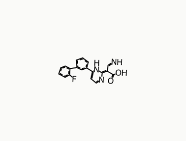 N=C/C(C(=O)O)=C1/N=CC=C(c2cccc(-c3ccccc3F)c2)N1